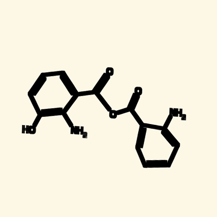 Nc1ccccc1C(=O)OC(=O)c1cccc(O)c1N